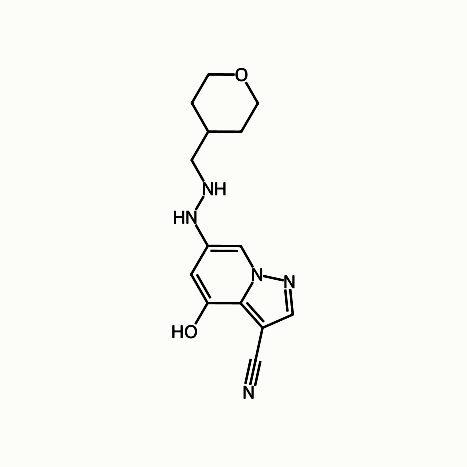 N#Cc1cnn2cc(NNCC3CCOCC3)cc(O)c12